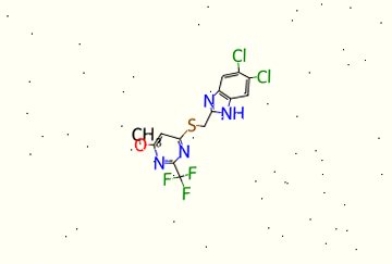 COc1cc(SCc2nc3cc(Cl)c(Cl)cc3[nH]2)nc(C(F)(F)F)n1